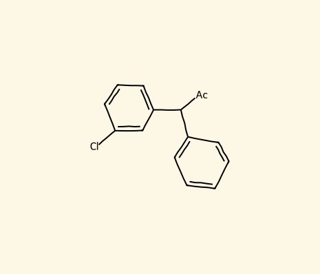 CC(=O)C(c1ccccc1)c1cccc(Cl)c1